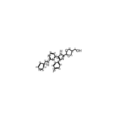 OCC1COC(c2nc(-c3ccc(F)cc3)c(-c3ccnc(NCc4ccncc4)n3)[nH]2)OC1